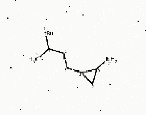 CC(CCC1CC1N)C(C)(C)C